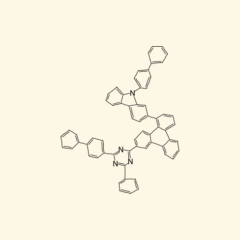 c1ccc(-c2ccc(-c3nc(-c4ccccc4)nc(-c4ccc5c(c4)c4ccccc4c4cccc(-c6ccc7c8ccccc8n(-c8ccc(-c9ccccc9)cc8)c7c6)c45)n3)cc2)cc1